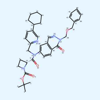 CC(C)(C)OC(=O)N1CC[C@@H]1C(=O)N(Cc1ccc(C2CCCCC2)cn1)c1ccc2c(=O)n(COCc3ccccc3)ncc2c1